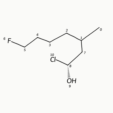 CC(CCCCF)C[C@H](O)Cl